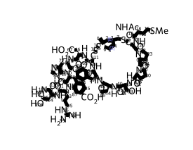 C=C1/C=C(\C=C/C)CSC[C@H](NC(=O)[C@@H](CCSC)NC(C)=O)C(=O)N2CCC[C@H]2C(=O)N2CCC[C@H]2C(=O)N[C@@H]([C@@H](C)O)C(=O)N[C@@H](CCC(=O)O)C(=O)N[C@@H](Cc2ccccc2)C(=O)N[C@H](C(=O)N[C@@H](CC(=O)O)C(=O)N[C@@H](Cc2c[nH]cn2)C(=O)N[C@@H](Cc2ccccc2)C(=O)N[C@@H](CCCNC(=N)N)C(=O)N[C@@H](CC(O)O)C(N)=O)CSC1